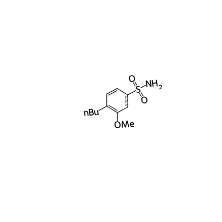 CCCCc1ccc(S(N)(=O)=O)cc1OC